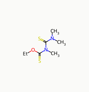 CCOC(=S)N(C)C(=S)N(C)C